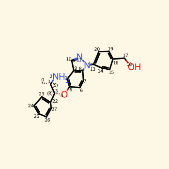 C[C@H](N)[C@H](Oc1ccc2c(cnn2-c2ccc(CO)cc2)c1)c1ccccc1